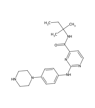 CCC(C)(C)NC(=O)c1ccnc(Nc2ccc(N3CCNCC3)cc2)n1